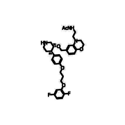 CC(=O)NCCN1CCOc2ccc(CO[C@H]3CNCC[C@@H]3c3ccc(OCCCOc4cc(F)ccc4F)cc3)cc21